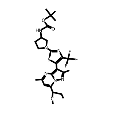 CCC(CC)c1cc(C)nc2c(-c3sc(N4CCC(NC(=O)OC(C)(C)C)C4)nc3C(F)(F)F)c(C)nn12